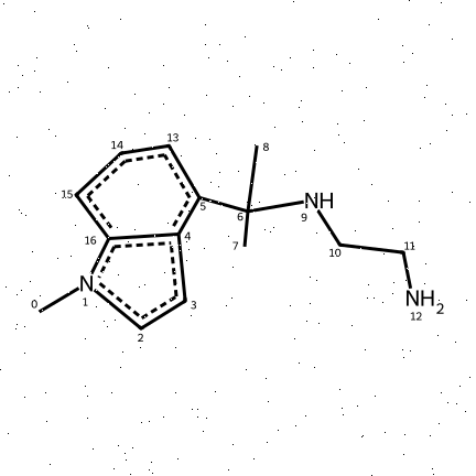 Cn1ccc2c(C(C)(C)NCCN)cccc21